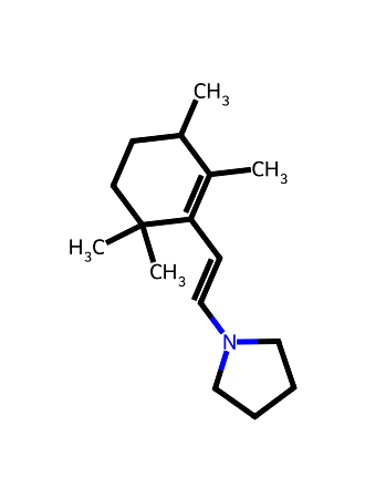 CC1=C(C=CN2CCCC2)C(C)(C)CCC1C